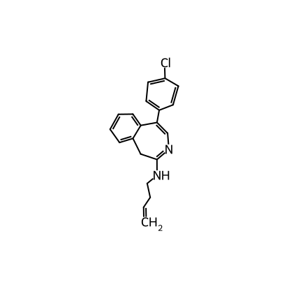 C=CCCNC1=NC=C(c2ccc(Cl)cc2)c2ccccc2C1